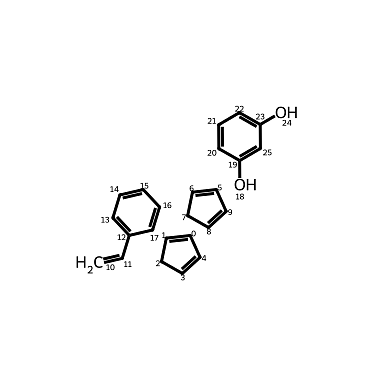 C1=CCC=C1.C1=CCC=C1.C=Cc1ccccc1.Oc1cccc(O)c1